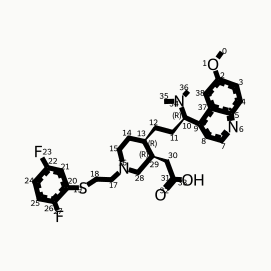 COc1ccc2nccc([C@@H](CC[C@@H]3CCN(CCSc4cc(F)ccc4F)C[C@@H]3CC(=O)O)N(C)C)c2c1